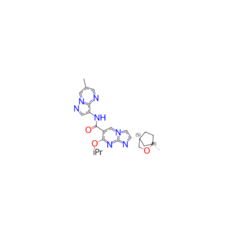 Cc1cnc2c(NC(=O)c3cn4cc([C@]56CC[C@](C)(C5)OC6)nc4nc3OC(C)C)cnn2c1